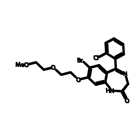 COCCOCCOc1cc2c(cc1Br)C(c1ccccc1Cl)=NCC(=O)N2